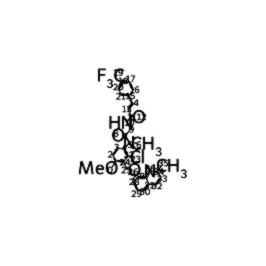 COc1ccc(N(C)C(=O)CNC(=O)/C=C/c2ccc(C(F)(F)F)cc2)c(Cl)c1COc1cccc2ccc(C)nc12